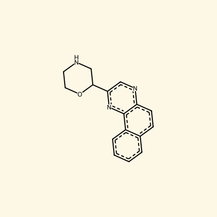 c1ccc2c(c1)ccc1ncc(C3CNCCO3)nc12